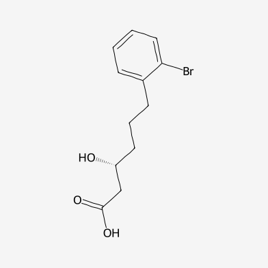 O=C(O)C[C@H](O)CCCc1ccccc1Br